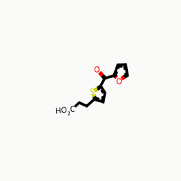 O=C(O)CCc1ccc(C(=O)c2ccco2)s1